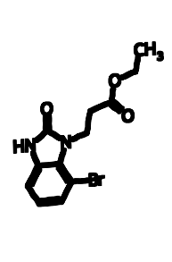 CCOC(=O)CCn1c(=O)[nH]c2cccc(Br)c21